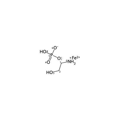 NCCO.O=P([O-])([O-])O.[Fe+2]